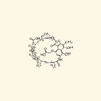 CO[C@H]1/C=C/O[C@@]2(C)Oc3c(C)c(O)c4c(O)c(cc(OCC(=O)O)c4c3C2=O)NC(=O)/C(C)=C\C=C\C(C)[C@H](O)[C@@H](C)[C@@H](O)[C@@H](C)C(OC(C)=O)C1